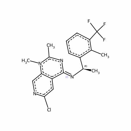 Cc1c([C@@H](C)/N=c2\nc(C)n(C)c3cnc(Cl)cc23)cccc1C(F)(F)F